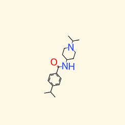 CC(C)c1ccc(C(=O)NC2CCN(C(C)C)CC2)cc1